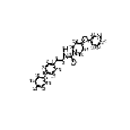 O=C(NCCc1ccc(-c2ccccc2)cc1)N1CCC(Oc2cccnc2)CC1